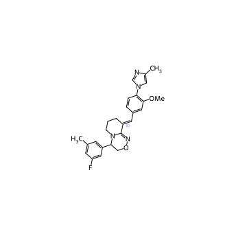 COc1cc(/C=C2\CCCN3C2=NOCC3c2cc(C)cc(F)c2)ccc1-n1cnc(C)c1